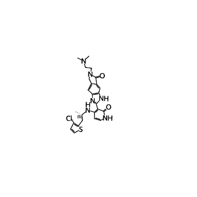 C[C@@H](Cc1sccc1Cl)Nc1cc[nH]c(=O)c1-c1nc2cc3c(cc2[nH]1)C(=O)N(CCN(C)C)C3